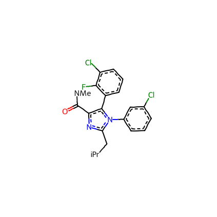 CNC(=O)c1nc(CC(C)C)n(-c2cccc(Cl)c2)c1-c1cccc(Cl)c1F